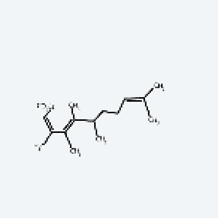 CCOC(=O)C=C(C)C(C)=C(C)C(C)CCC=C(C)C